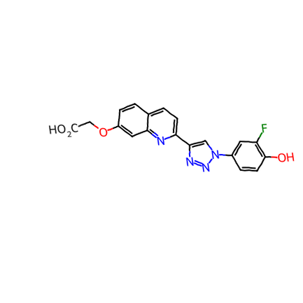 O=C(O)COc1ccc2ccc(-c3cn(-c4ccc(O)c(F)c4)nn3)nc2c1